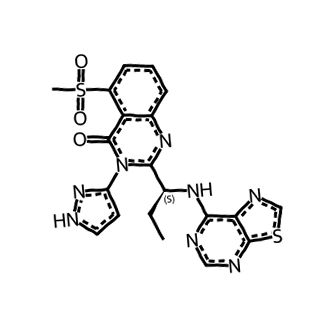 CC[C@H](Nc1ncnc2scnc12)c1nc2cccc(S(C)(=O)=O)c2c(=O)n1-c1cc[nH]n1